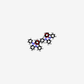 c1ccc(N(c2ccc(-c3ccc(N(c4ccccc4)c4ccccc4-n4c5ccccc5c5ccccc54)cc3)cc2)c2ccccc2-n2c3ccccc3c3ccccc32)cc1